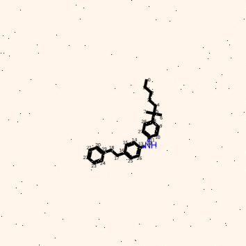 CCCCCC(C)(C)c1ccc(Nc2ccc(CCc3ccccc3)cc2)cc1